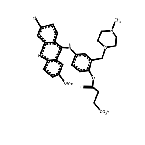 COc1ccc2nc3cc(Cl)ccc3c(Nc3ccc(OC(=O)CCC(=O)O)c(CN4CCN(C)CC4)c3)c2c1